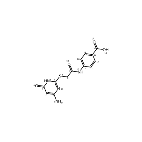 Nc1cc(=O)[nH]c(SCC(=O)Nc2ccc(C(=O)O)cc2)n1